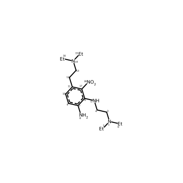 CCN(CC)CCNc1c(N)ccc(CCN(CC)CC)c1[N+](=O)[O-]